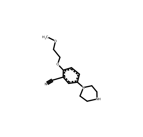 COCCOc1ccc(N2CCNCC2)cc1C#N